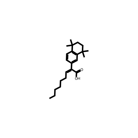 CCCCCCC=C(C(=O)O)c1ccc2c(c1)C(C)(C)CCC2(C)C